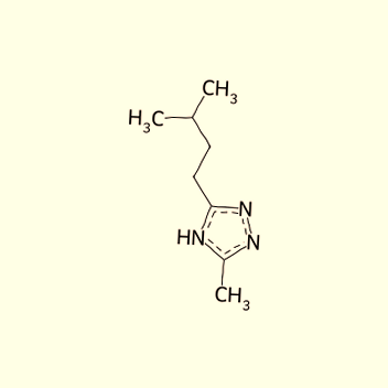 Cc1nnc(CCC(C)C)[nH]1